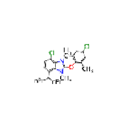 CCCC(CCC)c1ccc(Cl)c2nc(Oc3c(C)cc(Cl)cc3C)n(C)c12